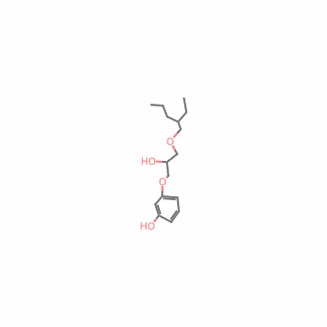 CCCC(CC)COCC(O)COc1cccc(O)c1